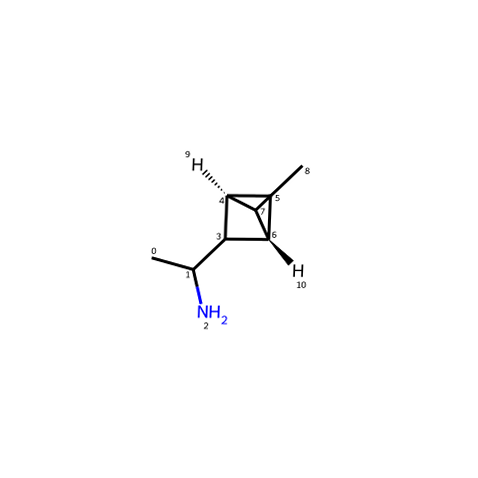 CC(N)C1[C@H]2C[C@H]1C2C